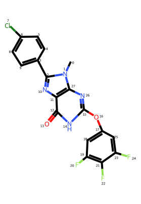 Cn1c(-c2ccc(Cl)cc2)nc2c(=O)[nH]c(Oc3cc(F)c(F)c(F)c3)nc21